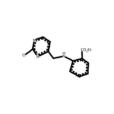 CCOC(=O)c1ccccc1NCc1ccnc(Cl)n1